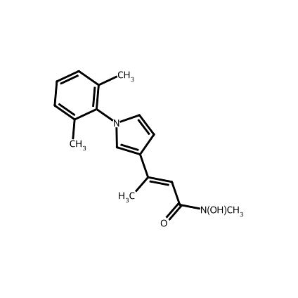 C/C(=C\C(=O)N(C)O)c1ccn(-c2c(C)cccc2C)c1